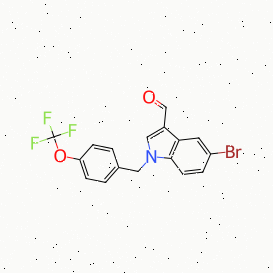 O=Cc1cn(Cc2ccc(OC(F)(F)F)cc2)c2ccc(Br)cc12